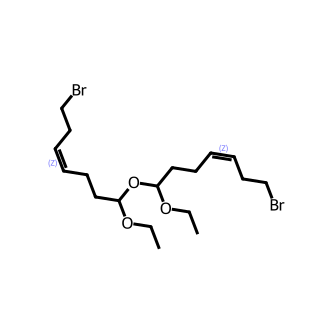 CCOC(CC/C=C\CCBr)OC(CC/C=C\CCBr)OCC